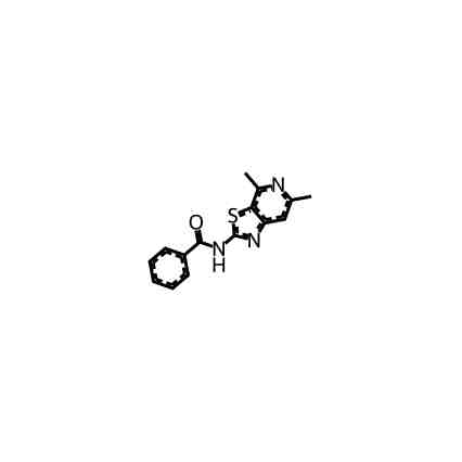 Cc1cc2nc(NC(=O)c3ccccc3)sc2c(C)n1